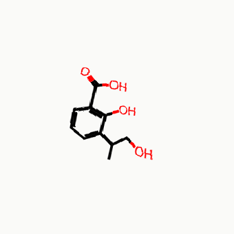 CC(CO)c1cccc(C(=O)O)c1O